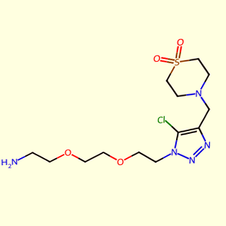 NCCOCCOCCn1nnc(CN2CCS(=O)(=O)CC2)c1Cl